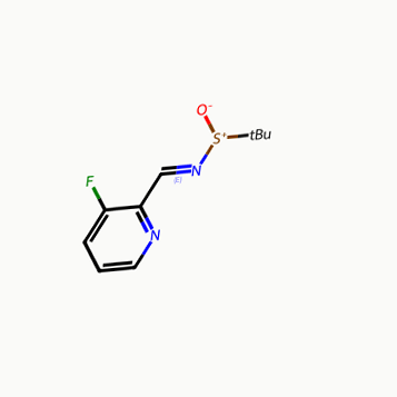 CC(C)(C)[S+]([O-])/N=C/c1ncccc1F